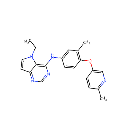 CCn1ccc2ncnc(Nc3ccc(Oc4ccc(C)nc4)c(C)c3)c21